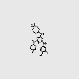 COc1ccc(Nc2nc(NC3CCCS(=O)(=O)CC3)nc(N(C)C3CCN(C)CC3)n2)cc1F